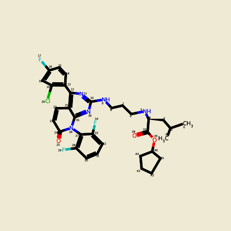 CC(C)C[C@H](NCCCNc1nc(-c2ccc(F)cc2Cl)c2ccc(=O)n(-c3c(F)cccc3F)c2n1)C(=O)OC1CCCC1